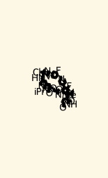 CNC(=O)COc1cc2cc(Nc3nc(N4CC[C@@H](CN5CCC(c6ccc7c(C8CCC(=O)NC8=O)nn(C)c7c6F)CC5)[C@@H](F)C4)ncc3Cl)cnc2n(C(C)C)c1=O